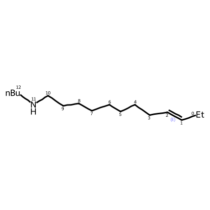 CC/C=C/CCCCCCCCNCCCC